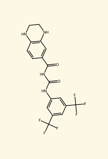 O=C(NC(=O)c1ccc2c(c1)NCCN2)Nc1cc(C(F)(F)F)cc(C(F)(F)F)c1